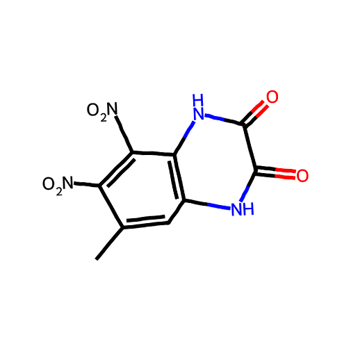 Cc1cc2[nH]c(=O)c(=O)[nH]c2c([N+](=O)[O-])c1[N+](=O)[O-]